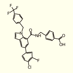 O=C(O)c1ccc(CNC(=O)c2cc(-c3ccc(Cl)c(F)c3)cc3ccn(Cc4ccc(C(F)(F)F)cc4)c23)cc1